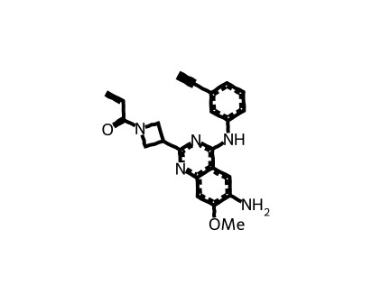 C#Cc1cccc(Nc2nc(C3CN(C(=O)C=C)C3)nc3cc(OC)c(N)cc23)c1